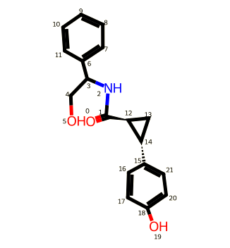 O=C(NC(CO)c1ccccc1)[C@H]1C[C@@H]1c1ccc(O)cc1